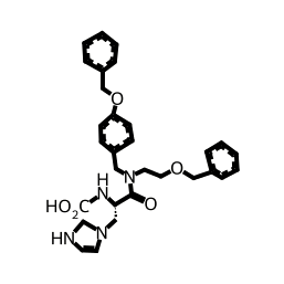 O=C(O)N[C@@H](CN1C=CNC1)C(=O)N(CCOCc1ccccc1)Cc1ccc(OCc2ccccc2)cc1